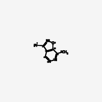 Cc1nncc2c(C(C)C)noc12